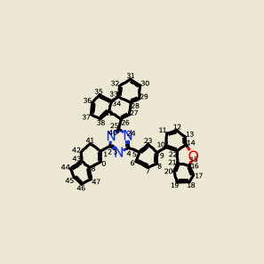 C1=C(c2nc(-c3cccc(-c4cccc5oc6ccccc6c45)c3)nc(-c3cc4ccccc4c4ccccc34)n2)CCc2ccccc21